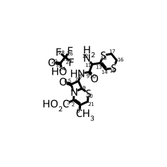 CC1=C(C(=O)O)N2C(=O)C(NC(=O)C(N)C3=CSCCS3)C2SC1.O=C(O)C(F)(F)F